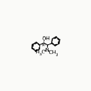 CN(C)C(c1ccccc1)[C@H](O)c1ccccc1